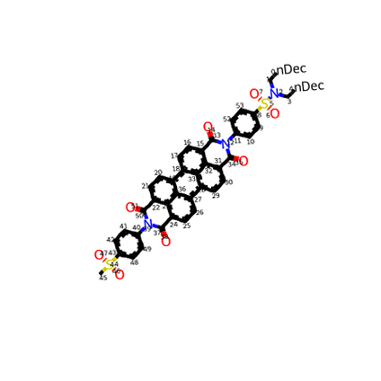 CCCCCCCCCCCN(CCCCCCCCCCC)S(=O)(=O)c1ccc(N2C(=O)c3ccc4c5ccc6c7c(ccc(c8ccc(c3c48)C2=O)c75)C(=O)N(c2ccc(S(C)(=O)=O)cc2)C6=O)cc1